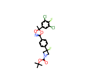 CC(C)(C)OC(=O)N1CC(F)(c2ccc(C3=NOC(C)(c4cc(Cl)c(F)c(Cl)c4)O3)cc2)C1